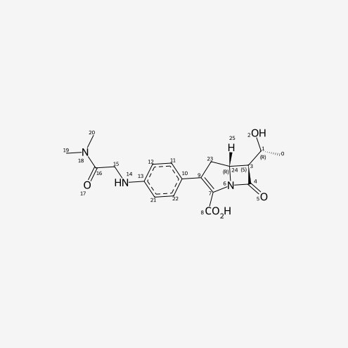 C[C@@H](O)[C@H]1C(=O)N2C(C(=O)O)=C(c3ccc(NCC(=O)N(C)C)cc3)C[C@H]12